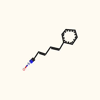 [O-][N+]#CC=CC=Cc1ccccc1